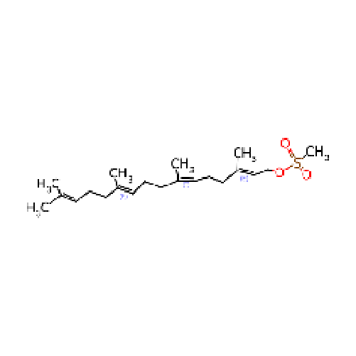 CC(C)=CCC/C(C)=C/CC/C(C)=C/CC/C(C)=C/COS(C)(=O)=O